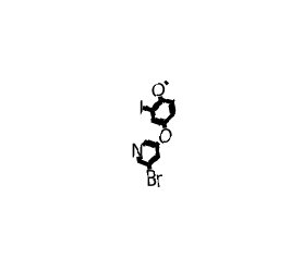 COc1ccc(Oc2cncc(Br)c2)cc1I